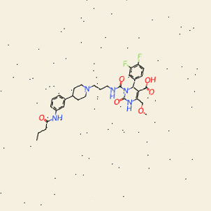 CCCC(=O)Nc1cccc(C2CCN(CCCNC(=O)N3C(=O)NC(COC)=C(C(=O)O)C3c3ccc(F)c(F)c3)CC2)c1